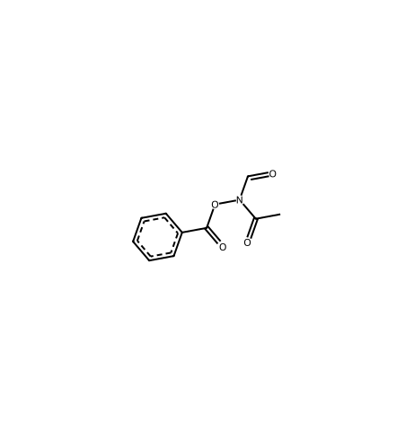 CC(=O)N(C=O)OC(=O)c1ccccc1